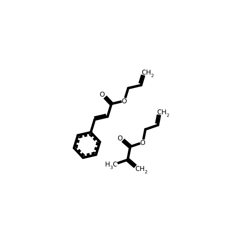 C=CCOC(=O)C(=C)C.C=CCOC(=O)C=Cc1ccccc1